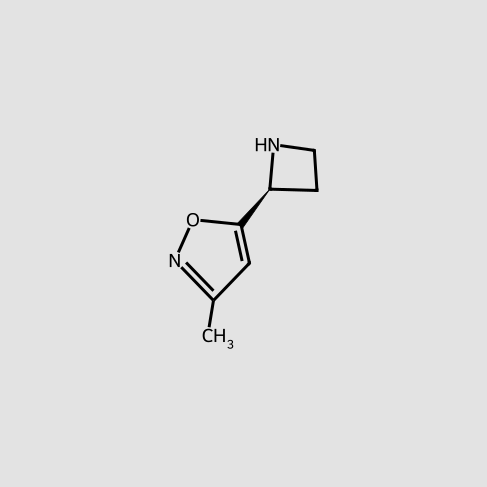 Cc1cc([C@@H]2CCN2)on1